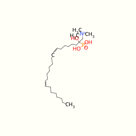 CCCCCCC/C=C\CCCCCCC/C=C\CCCCCC(O)(C[N+](C)(C)C)P(=O)(O)O